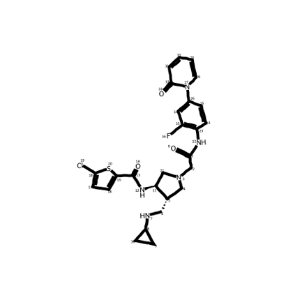 O=C(CN1C[C@H](CNC2CC2)[C@@H](NC(=O)c2ccc(Cl)s2)C1)Nc1ccc(-n2ccccc2=O)cc1F